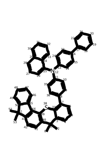 CC1(C)c2cccc(-c3ccc(N(c4ccc(-c5ccccc5)cc4)c4cccc5ccccc45)cc3)c2Sc2c1ccc1c2-c2ccccc2C1(C)C